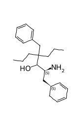 CCCC(CCC)(Cc1ccccc1)C(O)[C@@H](N)C[C@H]1C=CC=CC1